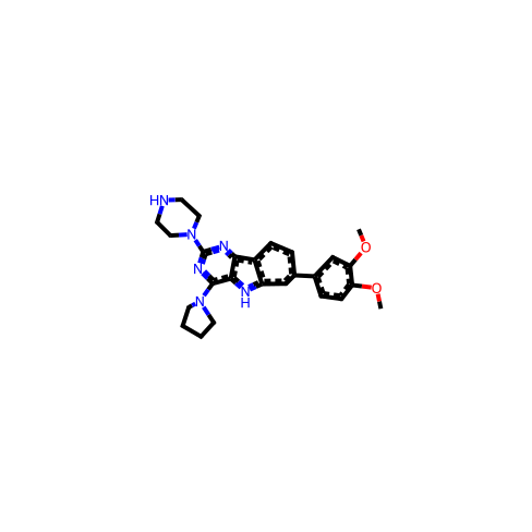 COc1ccc(-c2ccc3c(c2)[nH]c2c(N4CCCC4)nc(N4CCNCC4)nc23)cc1OC